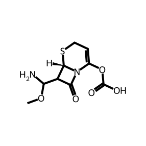 COC(N)C1C(=O)N2C(OC(=O)O)=CCS[C@@H]12